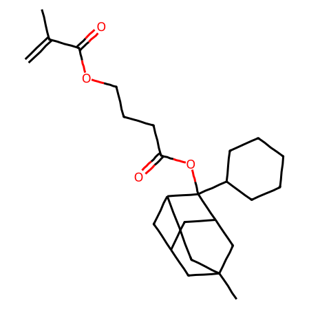 C=C(C)C(=O)OCCCC(=O)OC1(C2CCCCC2)C2CC3CC1CC(C)(C3)C2